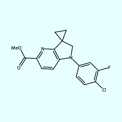 COC(=O)c1ccc2c(n1)C1(CC1)CN2c1ccc(Cl)c(F)c1